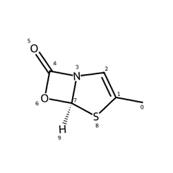 CC1=CN2C(=O)O[C@@H]2S1